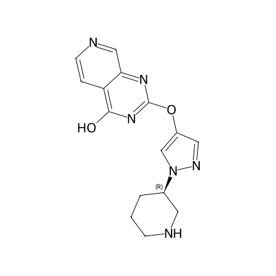 Oc1nc(Oc2cnn([C@@H]3CCCNC3)c2)nc2cnccc12